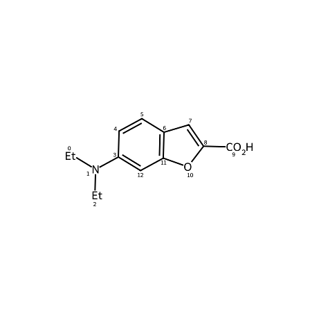 CCN(CC)c1ccc2cc(C(=O)O)oc2c1